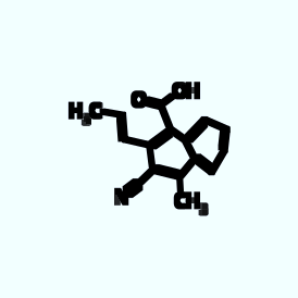 CC=Cc1c(C#N)c(C)c2ccccc2c1C(=O)O